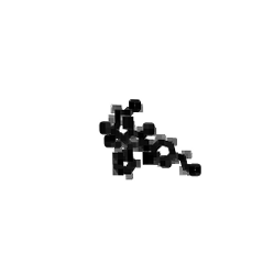 C[C@]1(Cn2ccnn2)[C@H](C(=O)N[C@@H]2BO[C@H](CC=O)CC2)N2C(=O)CC2S1(=O)=O